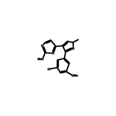 CNc1nccc(-c2cn(C)nc2-c2cc(Cl)cc(OC)c2)n1